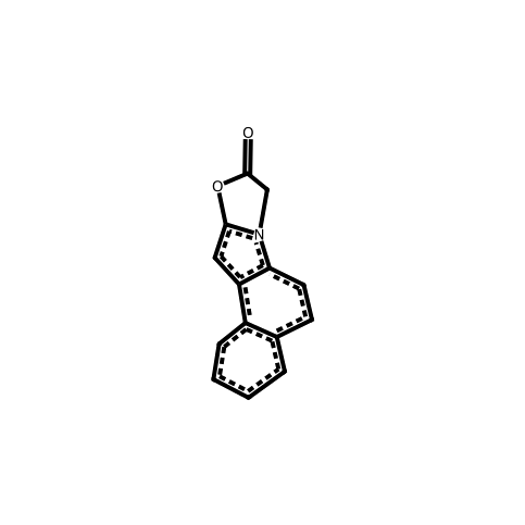 O=C1Cn2c(cc3c4ccccc4ccc32)O1